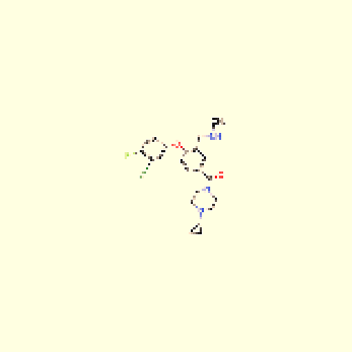 CNCc1cc(C(=O)N2CCN(C3CC3)CC2)ccc1Oc1ccc(F)c(Cl)c1